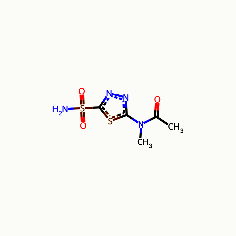 CC(=O)N(C)c1nnc(S(N)(=O)=O)s1